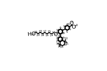 COC(=O)c1ccc(-c2ccc(OCCCCCCCCCO)c(-c3ccc4c(c3)C(C)(C)CCC4(C)C)c2)cc1